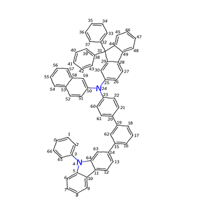 c1ccc(-n2c3ccccc3c3ccc(-c4cccc(-c5ccc(N(c6ccc7c(c6)C(c6ccccc6)(c6ccccc6)c6ccccc6-7)c6ccc7ccccc7c6)cc5)c4)cc32)cc1